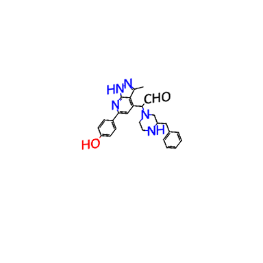 Cc1n[nH]c2nc(-c3ccc(O)cc3)cc(C(C=O)N3CCNC(Cc4ccccc4)C3)c12